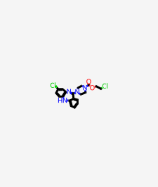 O=C(OCCCl)N1CCN(C2=Nc3cc(Cl)ccc3Nc3ccccc32)CC1